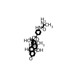 C[C@H](N)C(=O)Nc1ccc([C@@H]2O[C@@H]3C[C@H]4[C@@H]5CCC6=CC(=O)C=C[C@]6(C)[C@H]5[C@@H](O)C[C@]4(C)[C@]3(C(=O)CO)O2)cc1